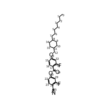 CCCCCCCCC1CCC(COc2ccc(C(=O)Oc3ccc(C#N)c(F)c3)c(F)c2)CC1